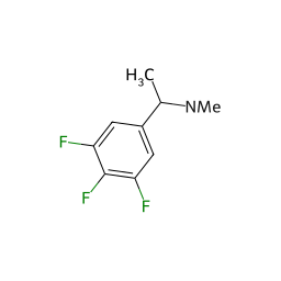 CNC(C)c1cc(F)c(F)c(F)c1